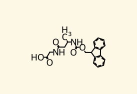 CC(CC(=O)NCC(=O)O)NC(=O)OCC1c2ccccc2-c2ccccc21